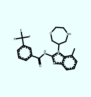 Cc1cccc2nc(NC(=O)c3cccc(C(F)(F)F)c3)n(C3CNCCOC3)c12